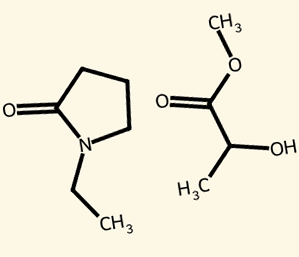 CCN1CCCC1=O.COC(=O)C(C)O